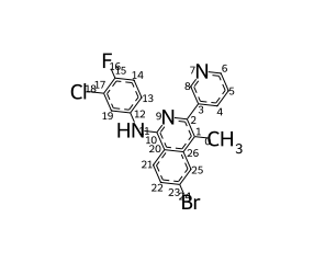 Cc1c(-c2cccnc2)nc(Nc2ccc(F)c(Cl)c2)c2ccc(Br)cc12